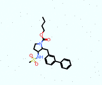 CCCCOC(=O)N1CCC(NS(C)(=O)=O)C1Cc1cccc(-c2ccccc2)c1